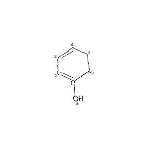 OC1=[C]C=CC[C]1